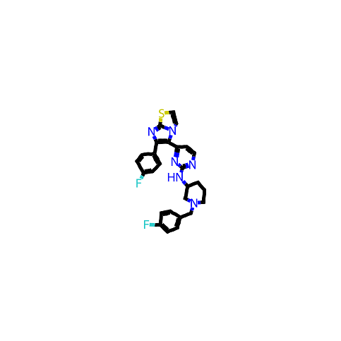 Fc1ccc(CN2CCCC(Nc3nccc(-c4c(-c5ccc(F)cc5)nc5sccn45)n3)C2)cc1